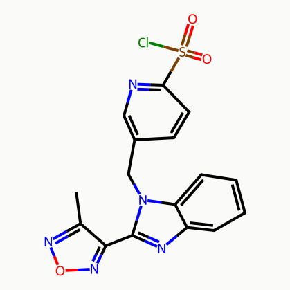 Cc1nonc1-c1nc2ccccc2n1Cc1ccc(S(=O)(=O)Cl)nc1